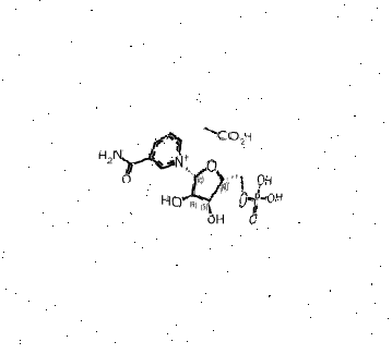 CC(=O)O.NC(=O)c1ccc[n+]([C@@H]2O[C@H](COP(=O)(O)O)[C@@H](O)[C@H]2O)c1